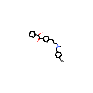 CN(CC=Cc1ccc(C(=O)C(O)c2ccccc2)cc1)Cc1ccc(C(C)(C)C)cc1